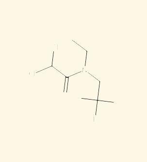 CCN(CC(F)(F)F)C(=O)C(Cl)Cl